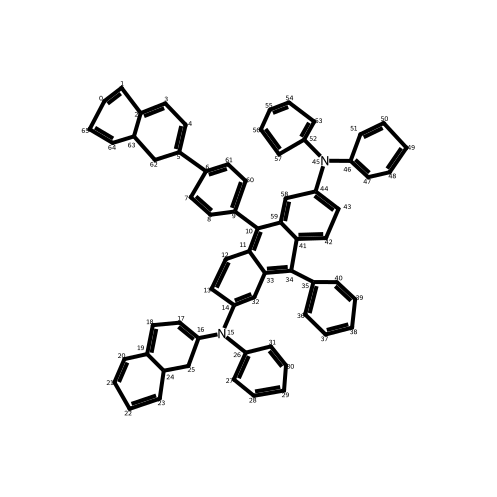 C1=CC2=CC=C(c3ccc(-c4c5ccc(N(C6=CC=C7C=CC=CC7C6)c6ccccc6)cc5c(-c5ccccc5)c5ccc(N(c6ccccc6)c6ccccc6)cc45)cc3)CC2C=C1